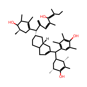 C=C(/C=C(C)\C(O)=C(\C)CC)C(C1=C(C)C(C)C(O)[C@H](C)C1)[C@H]1CCC2CC=C(C(c3cc(C)c(O)c(C)c3C)C3C[C@@H](C)C(O)=C(C)[C@H]3C)C[C@H]2C1